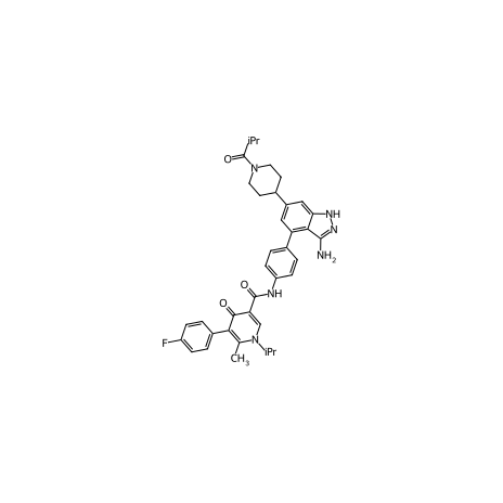 Cc1c(-c2ccc(F)cc2)c(=O)c(C(=O)Nc2ccc(-c3cc(C4CCN(C(=O)C(C)C)CC4)cc4[nH]nc(N)c34)cc2)cn1C(C)C